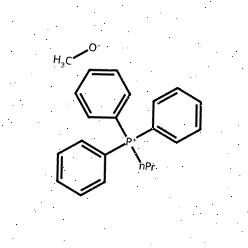 CCC[P+](c1ccccc1)(c1ccccc1)c1ccccc1.C[O-]